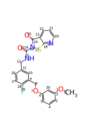 COc1cccc(OCc2cc(CNC(=O)n3sc4ncccc4c3=O)ccc2F)c1